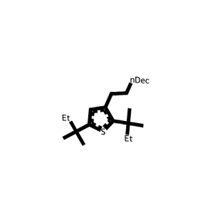 CCCCCCCCCCCCc1cc(C(C)(C)CC)sc1C(C)(C)CC